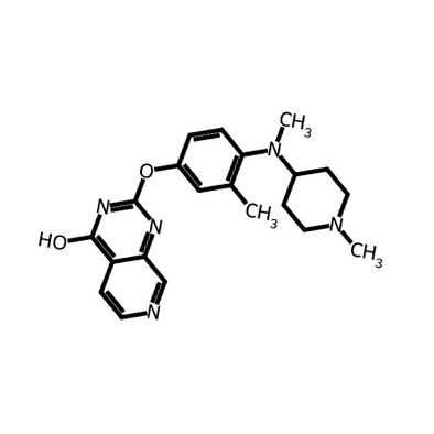 Cc1cc(Oc2nc(O)c3ccncc3n2)ccc1N(C)C1CCN(C)CC1